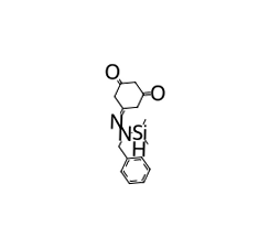 C[SiH](C)N(Cc1ccccc1)N=C1CC(=O)CC(=O)C1